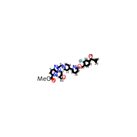 COC(=O)c1ccc2nc(CN3CCC(c4cccc(OCc5ccc(C(=O)C6CC6)cc5F)n4)CC3)n(CC3CCO3)c2n1